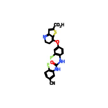 N#Cc1ccc(F)c(NC(=O)Nc2ccc(OC3=c4sc(C(=O)O)cc4=NCC3)cc2F)c1